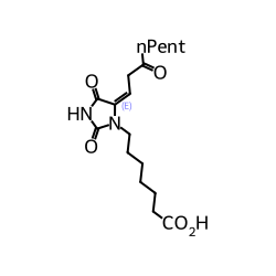 CCCCCC(=O)C/C=C1\C(=O)NC(=O)N1CCCCCCC(=O)O